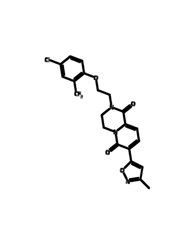 Cc1cc(-c2ccc3n(c2=O)CCN(CCOc2ccc(Cl)cc2C(F)(F)F)C3=O)on1